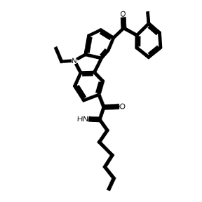 CCCCCCC(=N)C(=O)c1ccc2c(c1)c1cc(C(=O)c3ccccc3C)ccc1n2CC